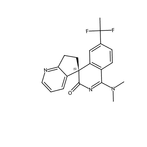 CN(C)C1=NC(=O)[C@@]2(CCc3ncccc32)c2cc(C(C)(F)F)ccc21